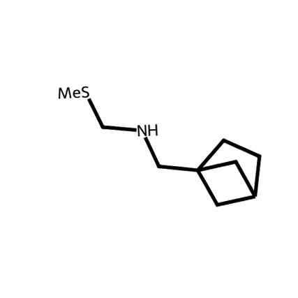 CSCNCC12CCC(C1)C2